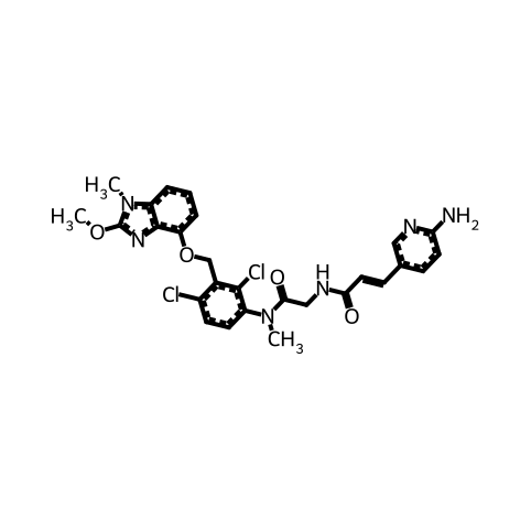 COc1nc2c(OCc3c(Cl)ccc(N(C)C(=O)CNC(=O)C=Cc4ccc(N)nc4)c3Cl)cccc2n1C